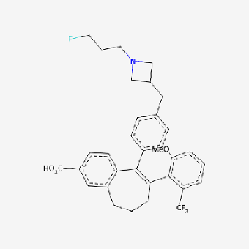 COc1cccc(C(F)(F)F)c1C1=C(c2ccc(CC3CN(CCCF)C3)cc2)c2ccc(C(=O)O)cc2CCC1